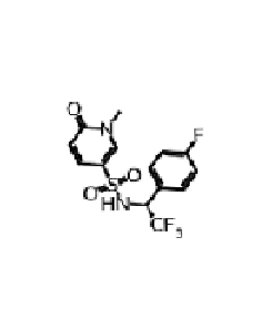 Cn1cc(S(=O)(=O)N[C@@H](c2ccc(F)cc2)C(F)(F)F)ccc1=O